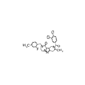 Cc1ccc(CN2CCn3nc4c(c3C2=O)CN(C(=O)c2ccc(Cl)c(Cl)c2)[C@H](C)C4)c(F)c1